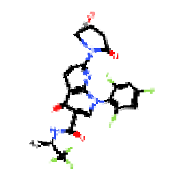 CC(NC(=O)c1cn(-c2c(F)cc(F)cc2F)c2nc(N3C[C@@H](O)CC3=O)ccc2c1=O)C(F)(F)F